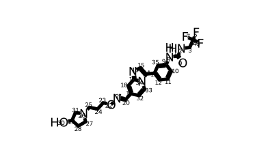 O=C(NCC(F)(F)F)Nc1cccc(-c2cnc3cc(C=NOCCCN4CCC(O)C4)ccn23)c1